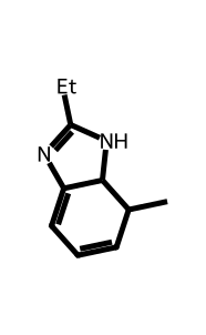 CCC1=NC2=CC=CC(C)C2N1